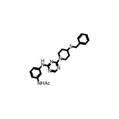 CC(=O)Nc1cccc(Nc2ncnc(N3CCC(SCc4ccccc4)CC3)n2)c1